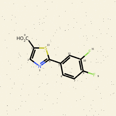 O=C(O)c1cnc(-c2ccc(F)c(F)c2)s1